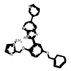 Cn1ccnc1COc1ccc(OCC2=CC=CCC2)cc1-c1nc2cc(-c3cccnc3)cnc2[nH]1